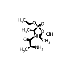 CCOP(=O)(OCC)[C@H](C)NC(=O)[C@H](C)N.Cl